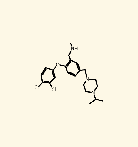 CNCc1cc(CN2CCN(C(C)C)CC2)ccc1Oc1ccc(Cl)c(Cl)c1